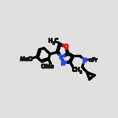 CCCN(Cc1c(C)nn2c(C3CC=C(OC)C=C3OC)c(C)oc12)CC1CC1